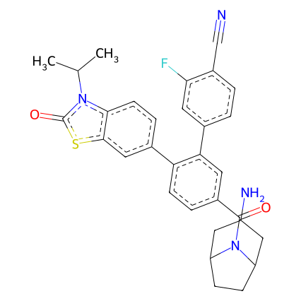 CC(C)n1c(=O)sc2cc(-c3ccc(C(=O)N4C5CCC4CC(N)C5)cc3-c3ccc(C#N)c(F)c3)ccc21